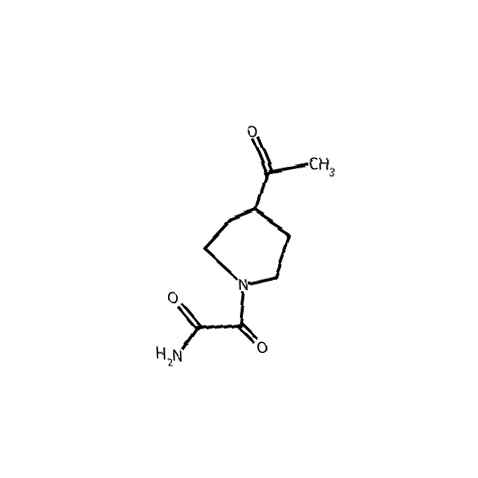 CC(=O)C1CCN(C(=O)C(N)=O)CC1